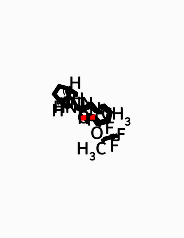 Cc1cc(N2C[C@H]3CC[C@@H](C2)[C@@H]3Nc2nc3c(OC(C)C(F)(F)F)cccn3n2)on1